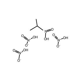 CC(C)C.O=NO.O=[N+]([O-])O.O=[N+]([O-])O.O=[N+]([O-])O